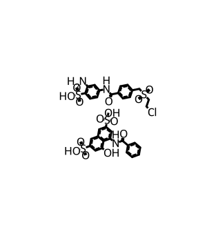 Nc1cc(NC(=O)c2ccc(CS(=O)(=O)CCCl)cc2)ccc1S(=O)(=O)O.O=C(Nc1cc(S(=O)(=O)O)cc2cc(S(=O)(=O)O)cc(O)c12)c1ccccc1